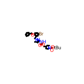 Cc1cc(NC(=O)OCC2CCN(C(=O)OC(C)(C)C)CC2)nn1Cc1cc(Br)ccc1OCc1ccccc1